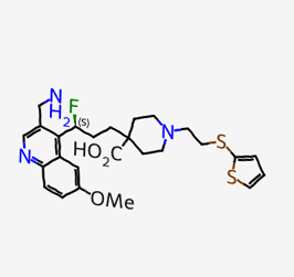 COc1ccc2ncc(CN)c([C@@H](F)CCC3(C(=O)O)CCN(CCSc4cccs4)CC3)c2c1